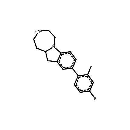 Cc1cc(F)ccc1-c1ccc2c(c1)CC1CCNCCN21